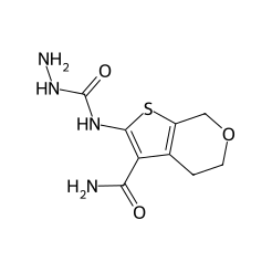 NNC(=O)Nc1sc2c(c1C(N)=O)CCOC2